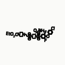 CCOC(=O)N1CCN(CCS(=O)(=O)N2CCN(S(=O)(=O)c3cc(F)c(Oc4ccc(Cl)cc4)c(F)c3)[C@@H](C(=O)ON)C2)CC1